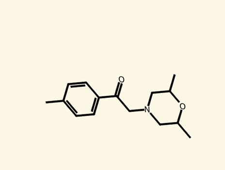 Cc1ccc(C(=O)CN2CC(C)OC(C)C2)cc1